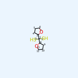 SC(S)(C1CCCO1)C1CCCO1